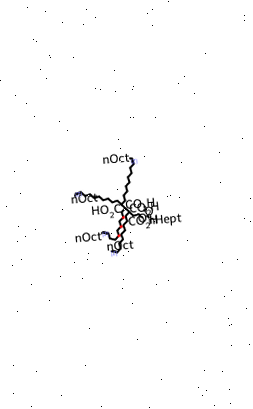 CCCCCCCC/C=C\CCCCCCCCC(CCCCCCCC/C=C\CCCCCCCC)(C(=O)O)C(CCCCCCCC/C=C\CCCCCCCC)(C(=O)O)C(CCCCCCCC/C=C\CCCCCCCC)(C(=O)O)C(COC(=O)CCCCCCC)C(=O)O